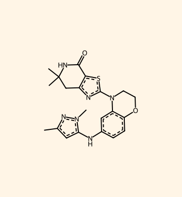 Cc1cc(Nc2ccc3c(c2)N(c2nc4c(s2)C(=O)NC(C)(C)C4)CCO3)n(C)n1